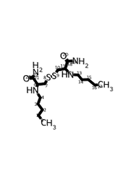 CCCCCNC(CSSCC(NCCCCC)C(N)=O)C(N)=O